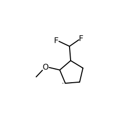 COC1[CH]CCC1C(F)F